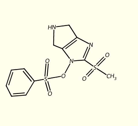 CS(=O)(=O)c1nc2c(n1OS(=O)(=O)c1ccccc1)CNC2